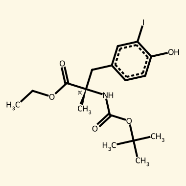 CCOC(=O)[C@](C)(Cc1ccc(O)c(I)c1)NC(=O)OC(C)(C)C